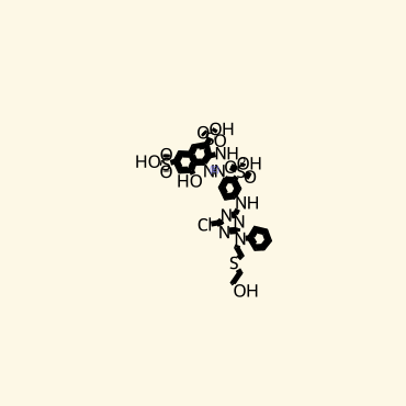 Nc1c(S(=O)(=O)O)cc2cc(S(=O)(=O)O)cc(O)c2c1/N=N/c1ccc(Nc2nc(Cl)nc(N(CCSCCO)c3ccccc3)n2)cc1S(=O)(=O)O